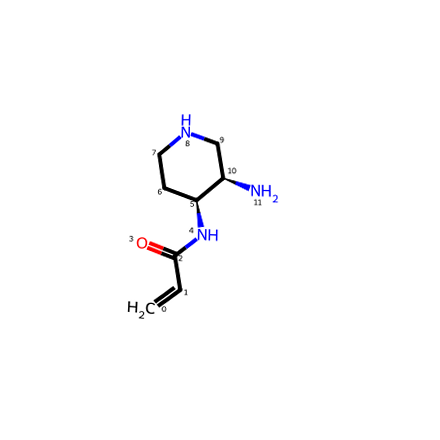 C=CC(=O)N[C@H]1CCNC[C@H]1N